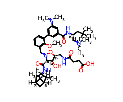 COc1c(CN2O[C@@H](CNC(=O)CCC(=O)O)[C@@H](O)[C@H]2C(=O)N[C@H]2C[C@H]3C[C@@H]([C@@H]2C)C3(C)C)cccc1-c1cc(C(=O)N[C@H](CN(C)C)CC(C)(C)C)cc(N(C)C)c1